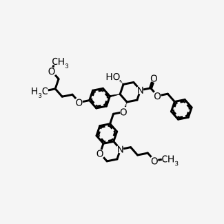 COCCCN1CCOc2ccc(CO[C@H]3CN(C(=O)OCc4ccccc4)C[C@@H](O)[C@@H]3c3ccc(OCCC(C)COC)cc3)cc21